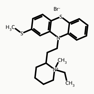 CC[N+]1(C)CCCCC1CCN1c2ccccc2Sc2ccc(SC)cc21.[Br-]